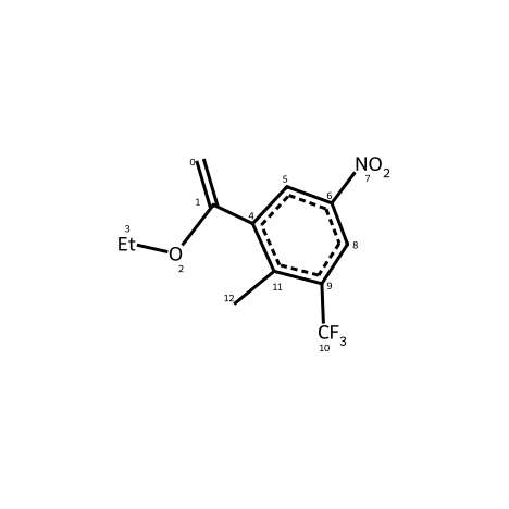 C=C(OCC)c1cc([N+](=O)[O-])cc(C(F)(F)F)c1C